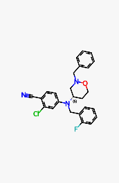 N#Cc1ccc(N(Cc2ccccc2F)[C@H]2CCON(Cc3ccccc3)C2)cc1Cl